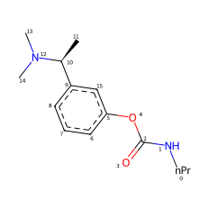 CCCNC(=O)Oc1cccc([C@H](C)N(C)C)c1